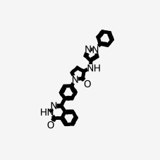 O=C1C(Nc2cnn(-c3ccccc3)c2)CCN1c1ccc(-c2n[nH]c(=O)c3ccccc23)cc1